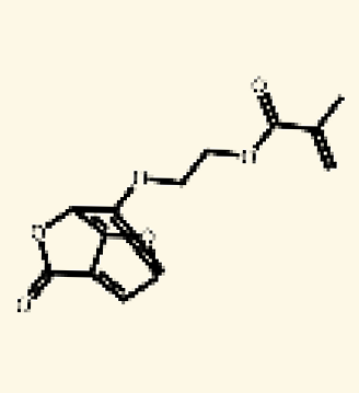 C=C(C)C(=O)OCCOc1c2c3oc1cc3C(=O)O2